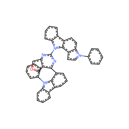 c1ccc(-n2ccc3c2ccc2c4ccccc4n(-c4nc(-c5cccc6c7ccccc7n(-c7ccccc7)c56)c5cocc5n4)c23)cc1